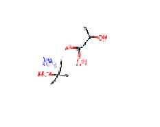 CC(C)(C)O.CC(O)C(=O)O.N